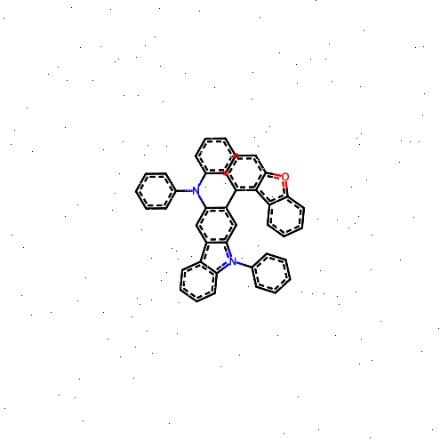 c1ccc(N(c2ccccc2)c2cc3c4ccccc4n(-c4ccccc4)c3cc2-c2cccc3oc4ccccc4c23)cc1